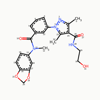 Cc1nn(-c2cccc(C(=O)N(C)c3ccc4c(c3)OCO4)c2)c(C)c1C(=O)NCCO